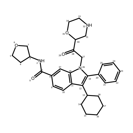 O=C(NC1CCOC1)c1ccc2c(C3CCCCC3)c(-c3ccccc3)n(CC(=O)C3CNCCO3)c2c1